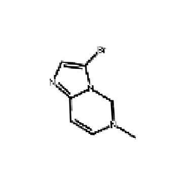 CN1C=Cc2ncc(Br)n2C1